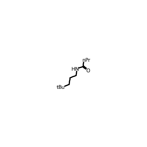 CCCC(=O)NCCCC(C)(C)C